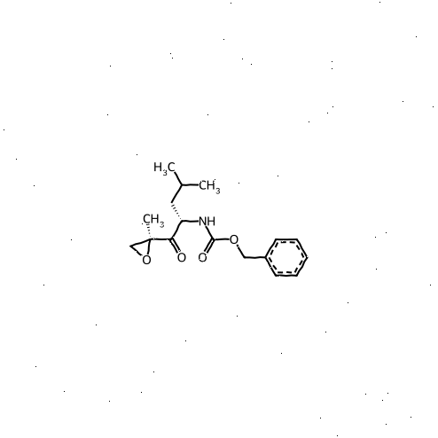 CC(C)C[C@H](NC(=O)OCc1ccccc1)C(=O)[C@]1(C)CO1